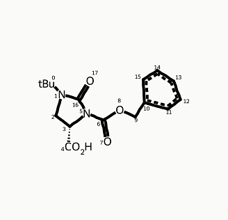 CC(C)(C)N1C[C@@H](C(=O)O)N(C(=O)OCc2ccccc2)C1=O